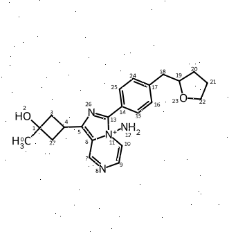 CC1(O)CC(C2=C3C=NC=C[N+]3(N)C(c3ccc(CC4CCCO4)cc3)=N2)C1